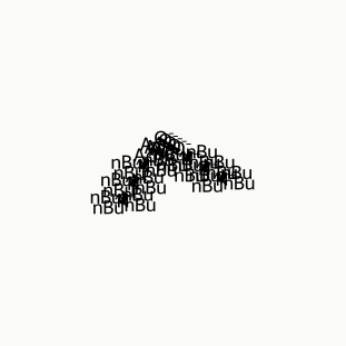 CC(=O)[O-].CC(=O)[O-].CC(=O)[O-].CC(=O)[O-].CC(=O)[O-].CC(=O)[O-].CCCC[N+](CCCC)(CCCC)CCCC.CCCC[N+](CCCC)(CCCC)CCCC.CCCC[N+](CCCC)(CCCC)CCCC.CCCC[N+](CCCC)(CCCC)CCCC.CCCC[N+](CCCC)(CCCC)CCCC.CCCC[N+](CCCC)(CCCC)CCCC